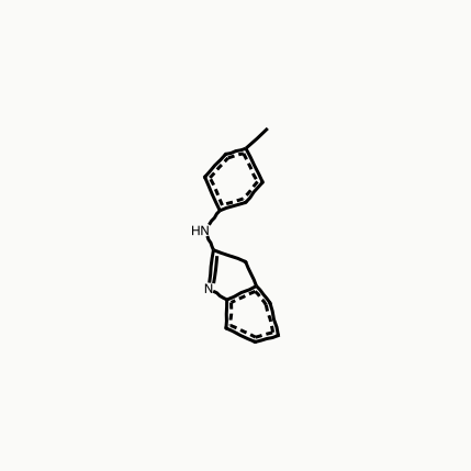 Cc1ccc(NC2=Nc3ccccc3C2)cc1